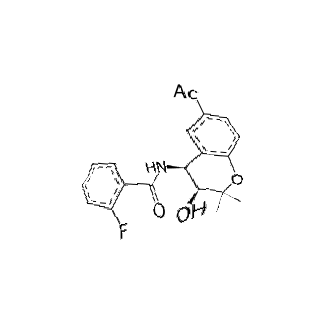 CC(=O)c1ccc2c(c1)[C@H](NC(=O)c1ccccc1F)[C@H](O)C(C)(C)O2